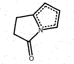 O=C1CCc2cccn21